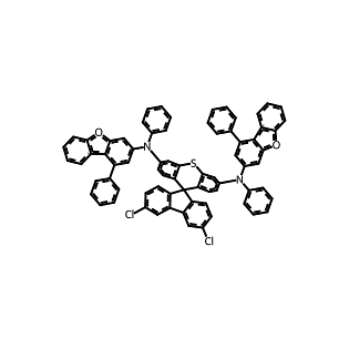 Clc1ccc2c(c1)-c1cc(Cl)ccc1C21c2ccc(N(c3ccccc3)c3cc(-c4ccccc4)c4c(c3)oc3ccccc34)cc2Sc2cc(N(c3ccccc3)c3cc(-c4ccccc4)c4c(c3)oc3ccccc34)ccc21